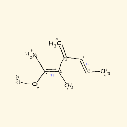 C=C(/C=C/C)/C(C)=C(\N)OCC